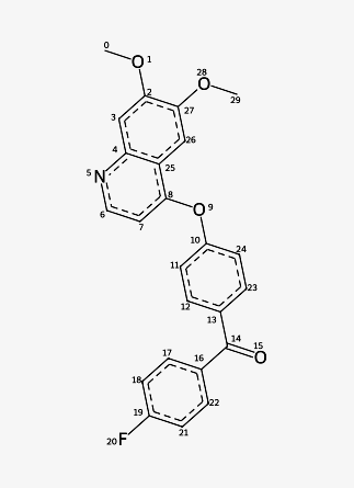 COc1cc2nccc(Oc3ccc(C(=O)c4ccc(F)cc4)cc3)c2cc1OC